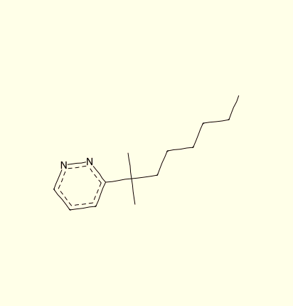 CCCCCCC(C)(C)c1cccnn1